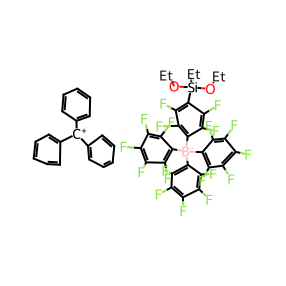 CCO[Si](CC)(OCC)c1c(F)c(F)c([B-](c2c(F)c(F)c(F)c(F)c2F)(c2c(F)c(F)c(F)c(F)c2F)c2c(F)c(F)c(F)c(F)c2F)c(F)c1F.c1ccc([C+](c2ccccc2)c2ccccc2)cc1